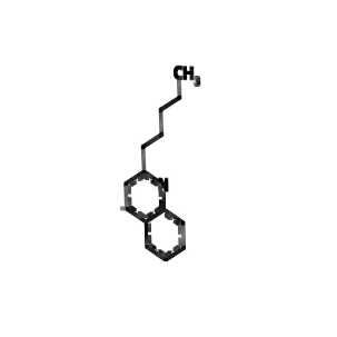 CCCCCc1c[c]c2ccccc2n1